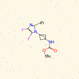 CC(C)c1nc(I)c(I)n1C12CC(NC(=O)OC(C)(C)C)(C1)C2